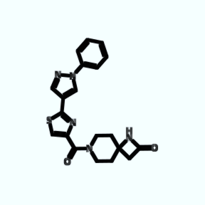 O=C1CC2(CCN(C(=O)c3csc(-c4cnn(-c5ccccc5)c4)n3)CC2)N1